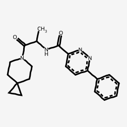 CC(NC(=O)c1ccc(-c2ccccc2)nn1)C(=O)N1CCC2(CC1)CC2